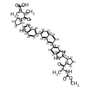 COC(=O)N[C@@H](C)C(=O)N1CCCC1c1nc2cc(-c3ccc4ccc(-c5ccc6[nH]c([C@@H]7CCCN7C(=O)[C@H](C)N(C)C(=O)O)nc6c5)cc4c3)ccc2[nH]1